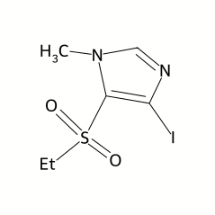 CCS(=O)(=O)c1c(I)ncn1C